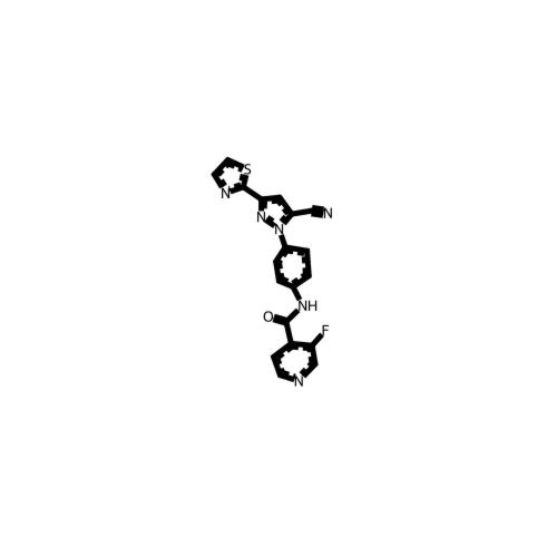 N#Cc1cc(-c2nccs2)nn1-c1ccc(NC(=O)c2ccncc2F)cc1